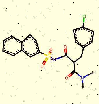 CCN(CC)C(=O)C(Cc1ccc(Cl)cc1)C(=O)NS(=O)(=O)c1ccc2ccccc2c1